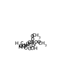 COc1ccc(C(OC[C@@]2(C)O[C@@H](n3cc(C)c(=O)[nH]c3=O)C=C2CC(=O)O)(c2ccccc2)c2ccc(OC)cc2)cc1